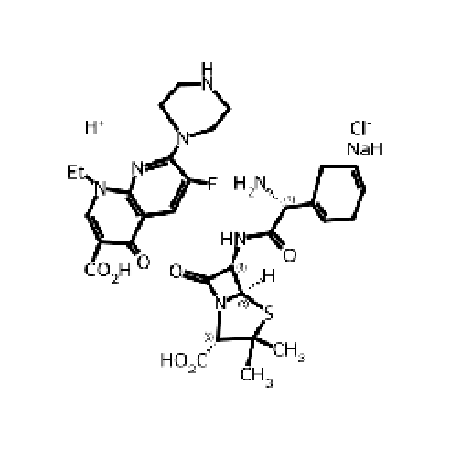 CC1(C)S[C@@H]2[C@H](NC(=O)[C@H](N)C3=CCC=CC3)C(=O)N2[C@H]1C(=O)O.CCn1cc(C(=O)O)c(=O)c2cc(F)c(N3CCNCC3)nc21.[Cl-].[H+].[NaH]